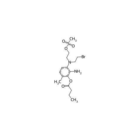 CCCC(=O)Oc1c(C)ccc(N(CCBr)CCOS(C)(=O)=O)c1N